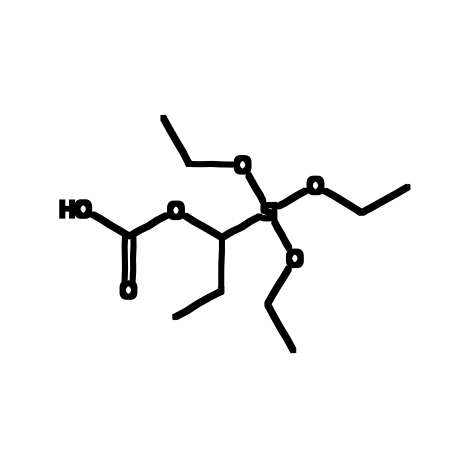 CCO[Si](OCC)(OCC)C(CC)OC(=O)O